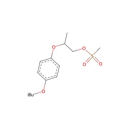 CCC(C)Oc1ccc(OC(C)COS(C)(=O)=O)cc1